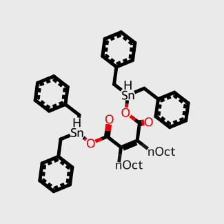 CCCCCCCC/C(C(=O)[O][SnH]([CH2]c1ccccc1)[CH2]c1ccccc1)=C(\CCCCCCCC)C(=O)[O][SnH]([CH2]c1ccccc1)[CH2]c1ccccc1